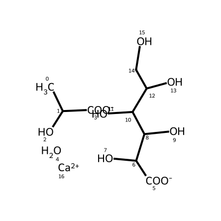 CC(O)C(=O)[O-].O.O=C([O-])C(O)C(O)C(O)C(O)CO.[Ca+2]